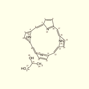 C1=Cc2cc3ccc(cc4nc(cc5ccc(cc1n2)[nH]5)C=C4)[nH]3.CC(O)C(=O)O